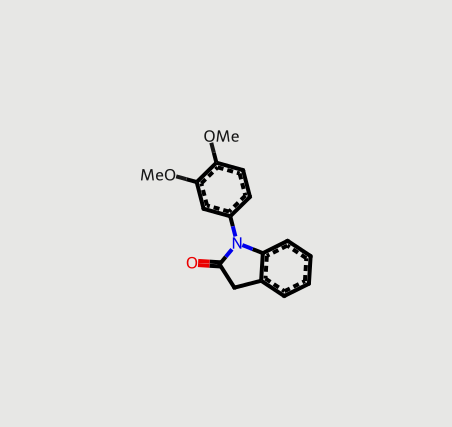 COc1ccc(N2C(=O)Cc3ccccc32)cc1OC